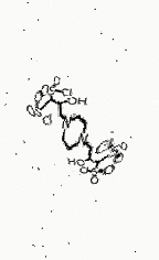 O=S(=O)(Cl)C(C(O)CN1CCN(CC(O)C(S(=O)(=O)Cl)S(=O)(=O)Cl)CC1)S(=O)(=O)Cl